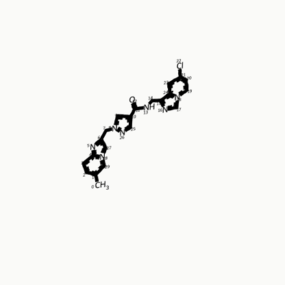 Cc1ccc2nc(Cn3cc(C(=O)NCc4ncn5ccc(Cl)cc45)cn3)cn2c1